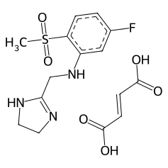 CS(=O)(=O)c1ccc(F)cc1NCC1=NCCN1.O=C(O)C=CC(=O)O